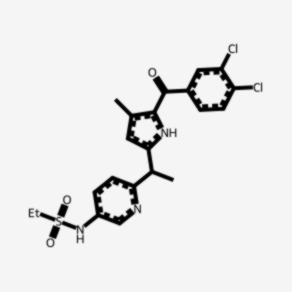 CCS(=O)(=O)Nc1ccc(C(C)c2cc(C)c(C(=O)c3ccc(Cl)c(Cl)c3)[nH]2)nc1